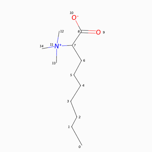 CCCCCCCC(C(=O)[O-])[N+](C)(C)C